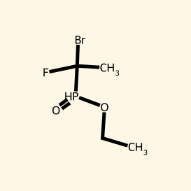 CCO[PH](=O)C(C)(F)Br